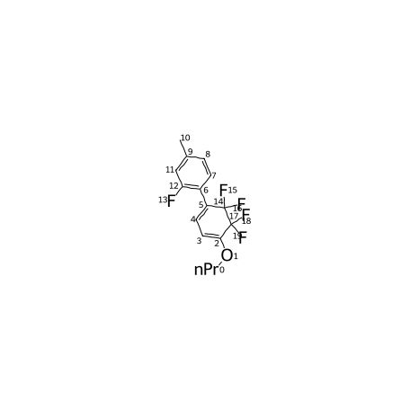 CCCOC1=CC=C(c2ccc(C)cc2F)C(F)(F)C1(F)F